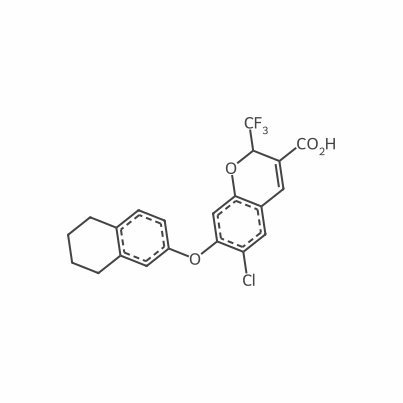 O=C(O)C1=Cc2cc(Cl)c(Oc3ccc4c(c3)CCCC4)cc2OC1C(F)(F)F